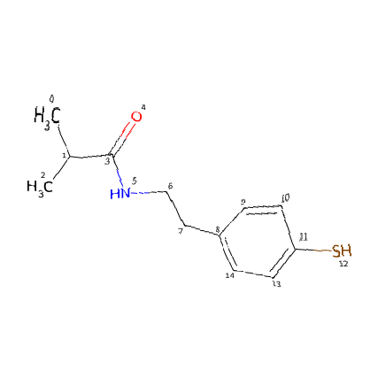 CC(C)C(=O)NCCc1ccc(S)cc1